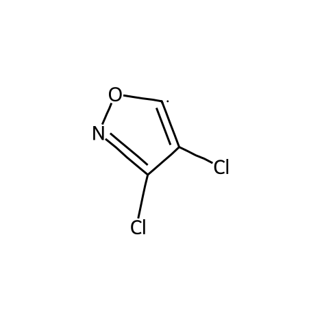 Clc1[c]onc1Cl